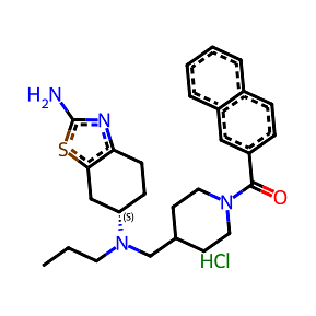 CCCN(CC1CCN(C(=O)c2ccc3ccccc3c2)CC1)[C@H]1CCc2nc(N)sc2C1.Cl